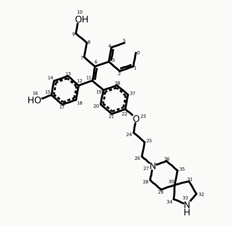 C\C=C/C(=C\C)C(/CCCO)=C(/c1ccc(O)cc1)c1ccc(OCCCN2CCC3(CCNC3)CC2)cc1